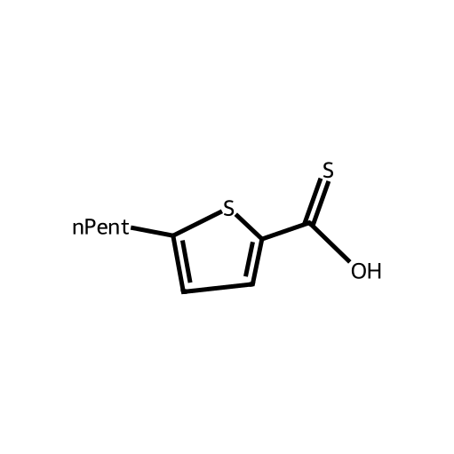 CCCCCc1ccc(C(O)=S)s1